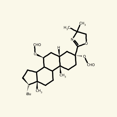 CC[C@@H](C)[C@H]1CCC2C3C(CC[C@@]21C)[C@@]1(C)CC[C@](OC=O)(C2=NC(C)(C)CO2)C[C@H]1C[C@@H]3OC=O